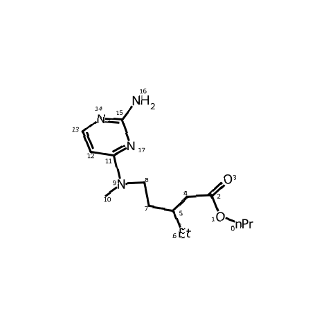 CCCOC(=O)CC(CC)CCN(C)c1ccnc(N)n1